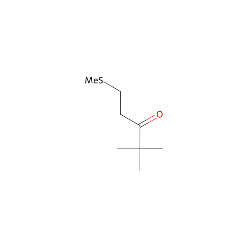 CSCCC(=O)C(C)(C)C